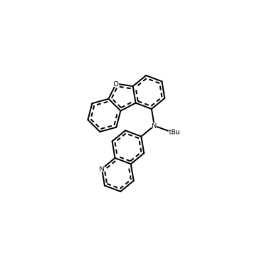 CC(C)(C)N(c1ccc2ncccc2c1)c1cccc2oc3ccccc3c12